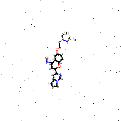 CCN(CC)CCOc1ccc2oc(-c3cc4cccn4cn3)c/c(=N/O)c2c1